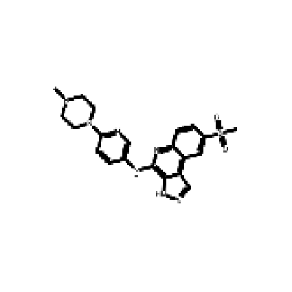 CN1CCN(c2ccc(Nc3nc4ccc(S(C)(=O)=O)cc4c4cn[nH]c34)cn2)CC1